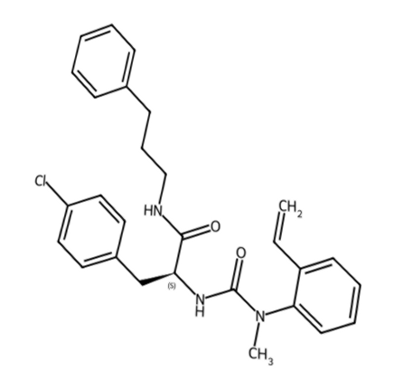 C=Cc1ccccc1N(C)C(=O)N[C@@H](Cc1ccc(Cl)cc1)C(=O)NCCCc1ccccc1